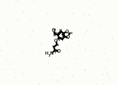 NC(=O)CCOc1cc2c(cc1C=O)OCO2